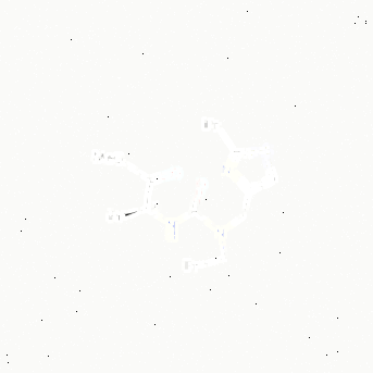 COC(=O)[C@@H](NC(=O)N(Cc1csc(C(C)C)n1)CC(C)C)C(C)C